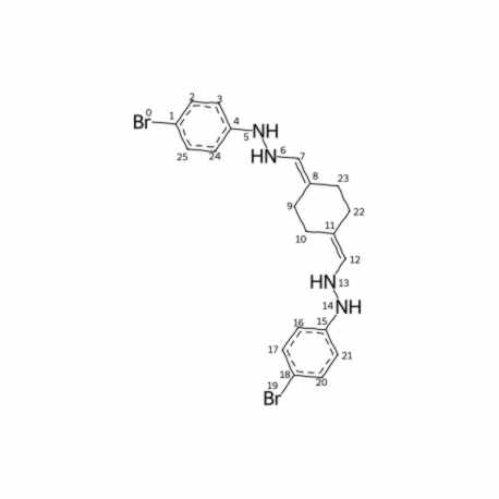 Brc1ccc(NNC=C2CCC(=CNNc3ccc(Br)cc3)CC2)cc1